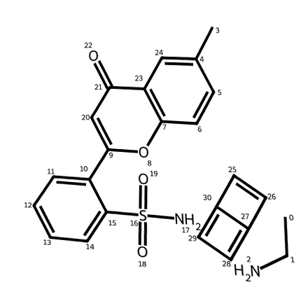 CCN.Cc1ccc2oc(-c3ccccc3S(N)(=O)=O)cc(=O)c2c1.c1cc2ccc1-2